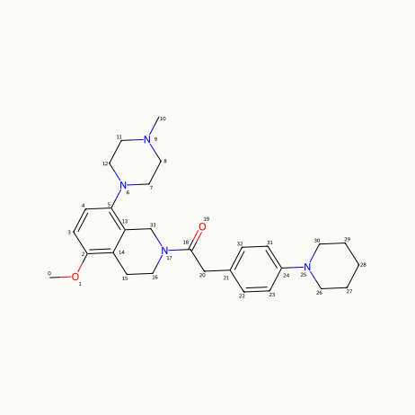 COc1ccc(N2CCN(C)CC2)c2c1CCN(C(=O)Cc1ccc(N3CCCCC3)cc1)C2